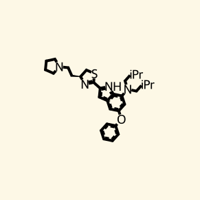 CC(C)CN(CC(C)C)c1cc(Oc2ccccc2)cc2cc(C3=N[C@@H](CCN4CCCC4)CS3)[nH]c12